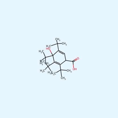 CC(C)(C)C1=CC(C(=O)O)C(C(C)(C)C)=C(C(C)(C)C)C1(O)C(C)(C)C